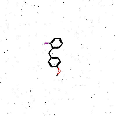 COc1ccc(Cc2ccccc2I)cc1